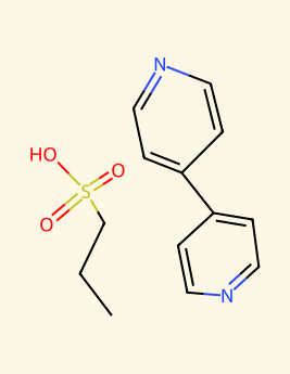 CCCS(=O)(=O)O.c1cc(-c2ccncc2)ccn1